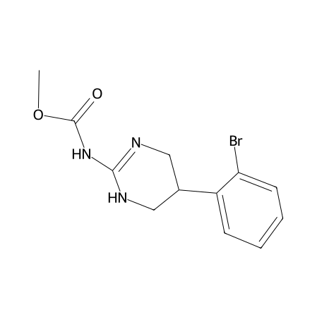 COC(=O)NC1=NCC(c2ccccc2Br)CN1